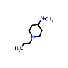 CCCN1CCC([N]C)CC1